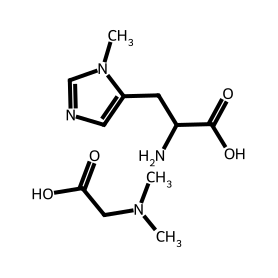 CN(C)CC(=O)O.Cn1cncc1CC(N)C(=O)O